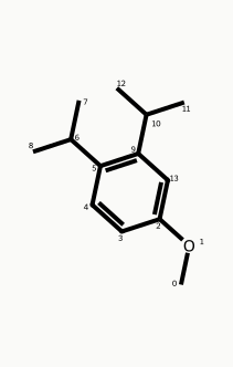 COc1ccc(C(C)C)c(C(C)C)c1